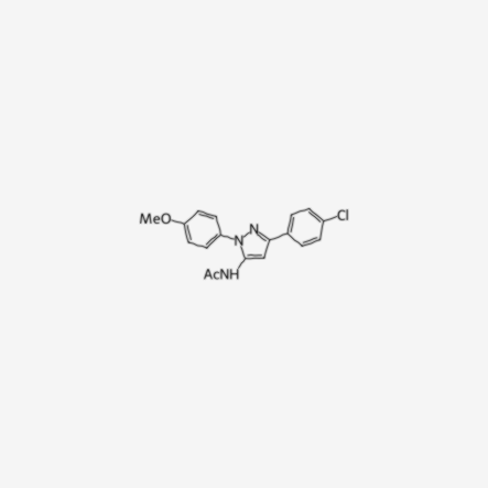 COc1ccc(-n2nc(-c3ccc(Cl)cc3)cc2NC(C)=O)cc1